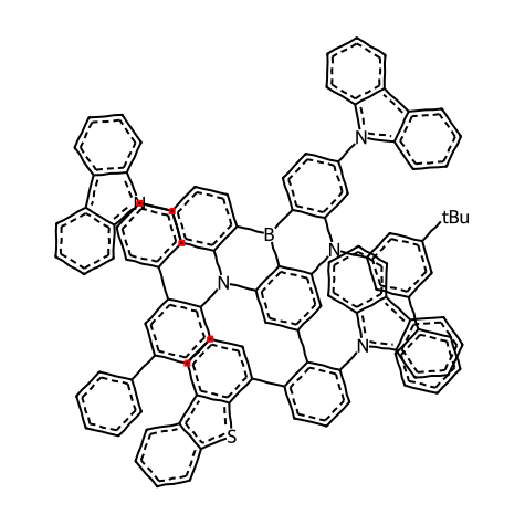 CC(C)(C)c1cc(-c2ccccc2)cc(N2c3cc(-n4c5ccccc5c5ccccc54)ccc3B3c4ccc(-n5c6ccccc6c6ccccc65)cc4N(c4ccc(-c5ccccc5)cc4-c4ccccc4)c4cc(-c5c(-c6cccc7c6sc6ccccc67)cccc5-n5c6ccccc6c6ccccc65)cc2c43)c1